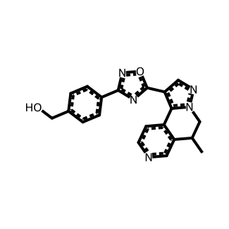 CC1Cn2ncc(-c3nc(-c4ccc(CO)cc4)no3)c2-c2ccncc21